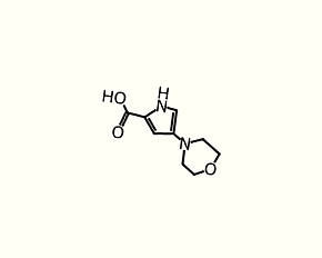 O=C(O)c1cc(N2CCOCC2)c[nH]1